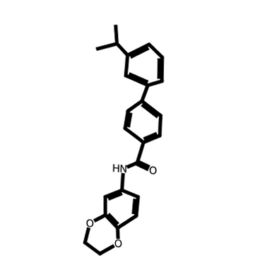 CC(C)c1cccc(-c2ccc(C(=O)Nc3ccc4c(c3)OCCO4)cc2)c1